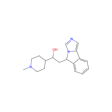 CN1CCC(C(O)CC2c3ccccc3-c3cncn32)CC1